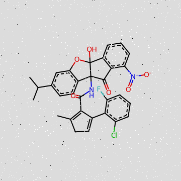 CC1=C(C(=O)NC23C(=O)c4c([N+](=O)[O-])cccc4C2(O)Oc2cc(C(C)C)ccc23)C(c2c(F)cccc2Cl)=CC1